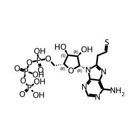 Nc1ncnc2c1nc(CC=S)n2[C@@H]1O[C@H](COP(=O)(O)OP(=O)(O)OP(=O)(O)O)[C@@H](O)[C@H]1O